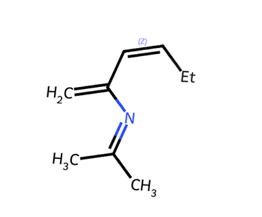 C=C(/C=C\CC)N=C(C)C